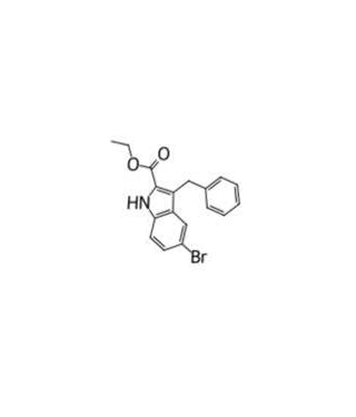 CCOC(=O)c1[nH]c2ccc(Br)cc2c1Cc1ccccc1